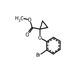 COC(=O)C1(Oc2ccccc2Br)CC1